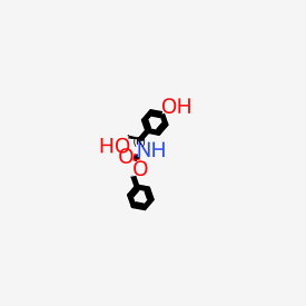 O=C(N[C@@H](CO)c1ccc(O)cc1)OCc1ccccc1